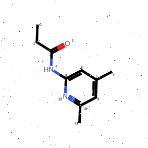 CCC(=O)Nc1cc(C)cc(C)n1